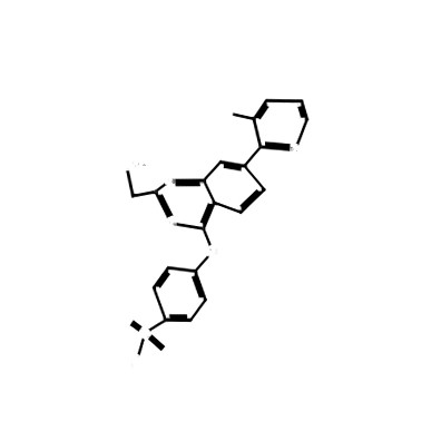 COCc1nc(Nc2ccc(S(=O)(=O)C(F)(F)F)cc2)c2ccc(-c3ncccc3C(F)(F)F)cc2n1